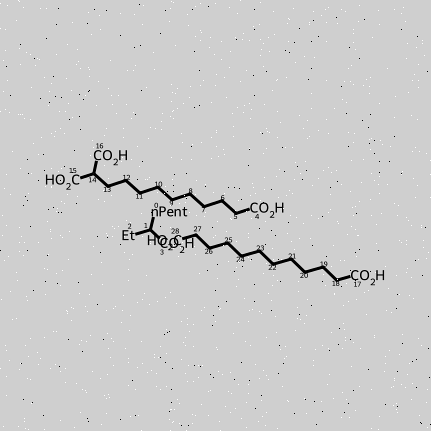 CCCCCC(CC)C(=O)O.O=C(O)CCCCCCCCCC(C(=O)O)C(=O)O.O=C(O)CCCCCCCCCCC(=O)O